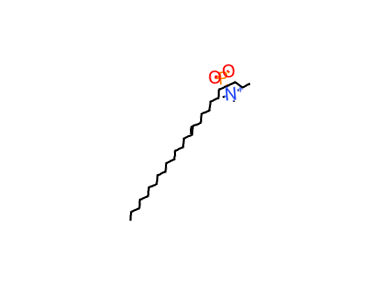 CCCCCCCCCCCCCCC=CCCCCCCC(CCC)(P(=O)=O)[N+](C)(C)C